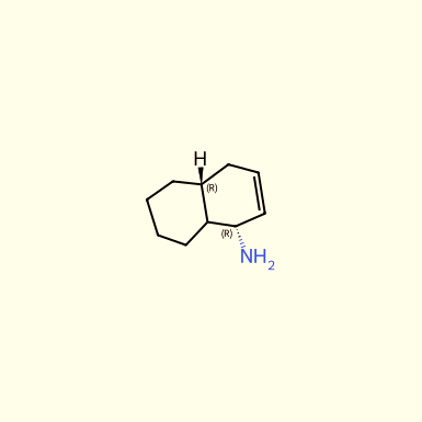 N[C@H]1C=CC[C@H]2CCCCC21